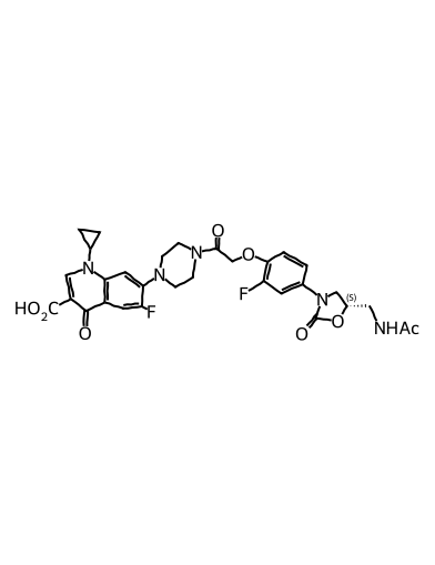 CC(=O)NC[C@H]1CN(c2ccc(OCC(=O)N3CCN(c4cc5c(cc4F)c(=O)c(C(=O)O)cn5C4CC4)CC3)c(F)c2)C(=O)O1